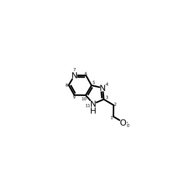 [O]CCc1nc2cnccc2[nH]1